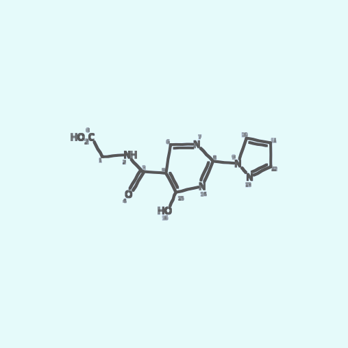 O=C(O)CNC(=O)c1cnc(-n2cccn2)nc1O